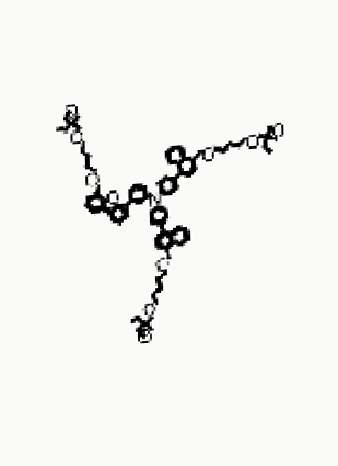 CCC1(COCCCCCOCc2ccc(-c3ccc(N(c4ccc(-c5ccc(COCCCCCOCC6(CC)COC6)c6ccccc56)cc4)c4cccc(-c5cccc6c5oc5c(COCCCCCOCC7(CC)COC7)cccc56)c4)cc3)c3ccccc23)COC1